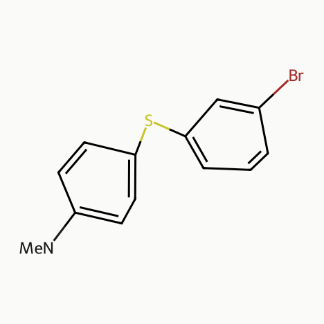 CNc1ccc(Sc2cccc(Br)c2)cc1